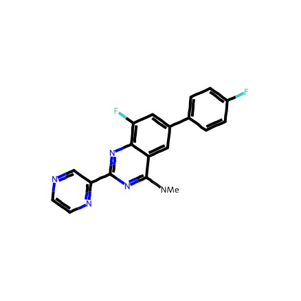 CNc1nc(-c2cnccn2)nc2c(F)cc(-c3ccc(F)cc3)cc12